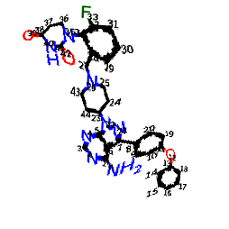 Nc1ncnc2c1c(-c1ccc(Oc3ccccc3)cc1)nn2C1CCN(Cc2cccc(F)c2N2CCC(=O)NC2=O)CC1